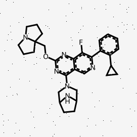 Fc1c(-c2ccccc2C2CC2)ncc2c(N3CC4CCC(C3)N4)nc(OCC34CCCN3CCC4)nc12